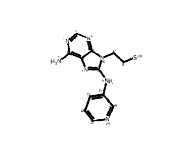 Nc1ncnc2c1nc(Nc1cccnc1)n2CC[S]